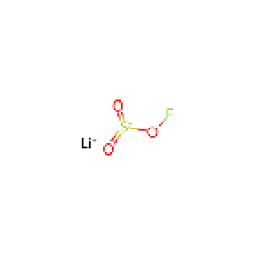 O=[S-](=O)OF.[Li+]